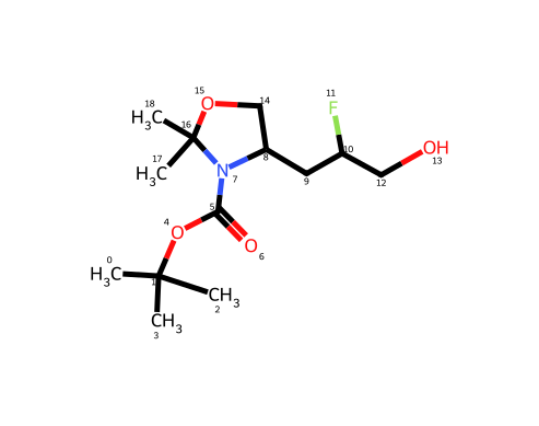 CC(C)(C)OC(=O)N1C(CC(F)CO)COC1(C)C